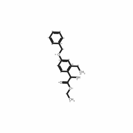 CCOC(=O)C(S)c1ccc(OCc2ccccc2)cc1CC